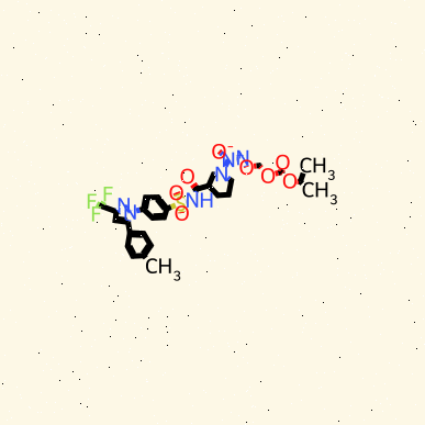 Cc1ccc(-c2cc(C(F)(F)F)nn2-c2ccc(S(=O)(=O)NC(=O)C3CCCN(/[N+]([O-])=N\OCOC(=O)OC(C)C)C3)cc2)cc1